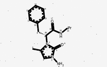 Cc1cn(N)c(=O)n1[C@H](Cc1ccccc1)C(=O)NC(C)C